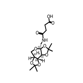 CC1(C)O[C@@H]2[C@@H](CO[C@@]3(CNC(=O)CCC(=O)O)OC(C)(C)O[C@@H]23)O1